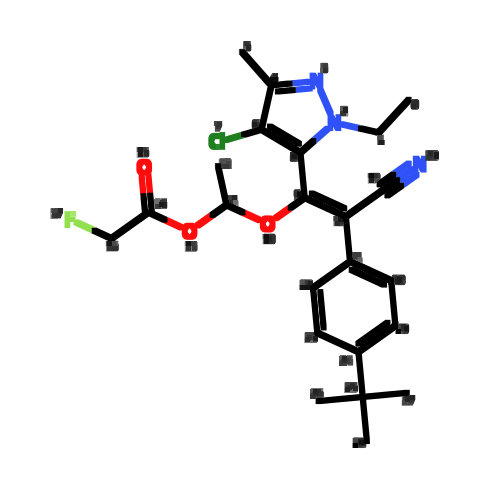 CCn1nc(C)c(Cl)c1/C(OC(C)OC(=O)CF)=C(\C#N)c1ccc(C(C)(C)C)cc1